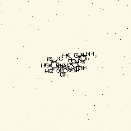 C#CCOCC1OC(OP(=O)(O)OP(=O)(O)O[C@H]2O[C@@H](n3ccc(N)nc3=O)C(O)[C@H]2O)C(O)[C@@H](O)[C@H]1O